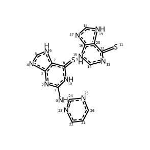 Nc1nc2nc[nH]c2c(=S)[nH]1.S=c1nc[nH]c2nc[nH]c12.c1cncnc1